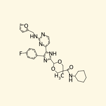 CC1(C(=O)NC2CCCCC2)COC(c2nc(-c3ccc(F)cc3)c(-c3ccnc(NCc4ccco4)n3)[nH]2)OC1